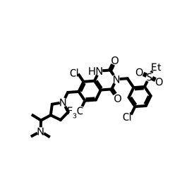 CCS(=O)(=O)c1ccc(Cl)cc1Cn1c(=O)[nH]c2c(Cl)c(CN3CCC(C(C)N(C)C)C3)c(C(F)(F)F)cc2c1=O